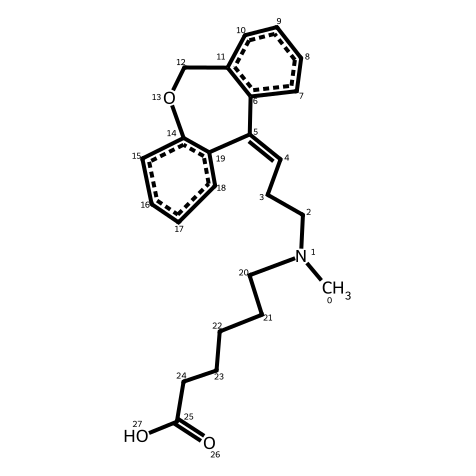 CN(CCC=C1c2ccccc2COc2ccccc21)CCCCCC(=O)O